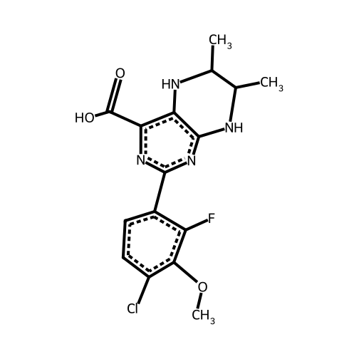 COc1c(Cl)ccc(-c2nc3c(c(C(=O)O)n2)NC(C)C(C)N3)c1F